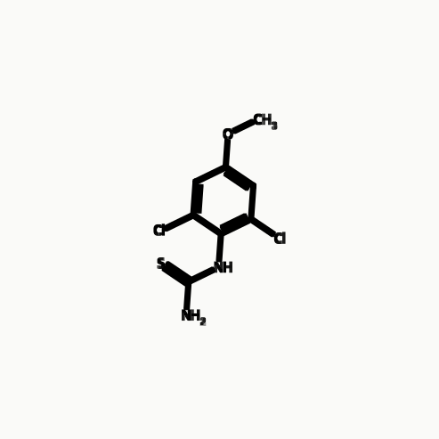 COc1cc(Cl)c(NC(N)=S)c(Cl)c1